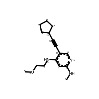 CNc1cc(NCCOC)c(C#CC2CCCC2)cn1